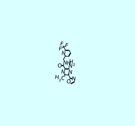 Cc1nc(C(=O)NCc2cccc(C(F)(F)F)n2)c(N)nc1-c1ncco1